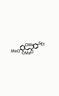 CCSc1ccc(C(=O)C=Cc2c(OC)ccc(OC)c2OC)cc1